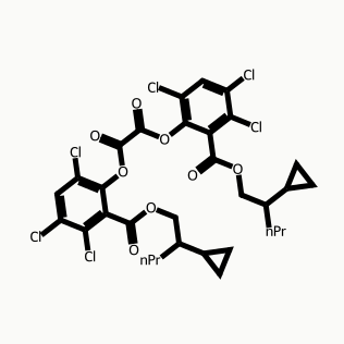 CCCC(COC(=O)c1c(Cl)c(Cl)cc(Cl)c1OC(=O)C(=O)Oc1c(Cl)cc(Cl)c(Cl)c1C(=O)OCC(CCC)C1CC1)C1CC1